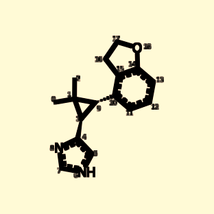 CC1(C)[C@H](c2c[nH]cn2)[C@H]1c1cccc2c1CCO2